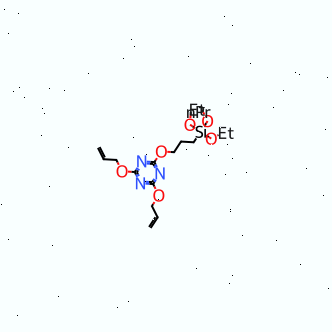 C=CCOc1nc(OCC=C)nc(OCCC[Si](OCC)(OCC)OCCC)n1